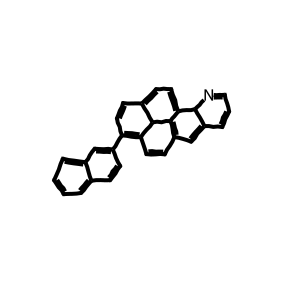 C1=CC2=CC3=C4C(=CC=C5C=CC(c6ccc7ccccc7c6)=C(C=C3)C54)C2N=C1